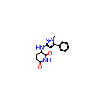 Cn1nc(NC2CCC(=O)NC2=O)cc1-c1ccccc1